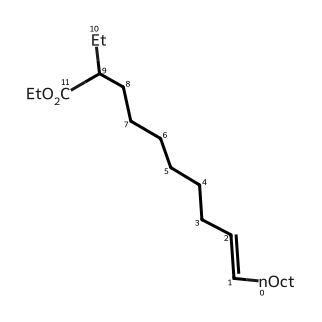 CCCCCCCCC=CCCCCCCC(CC)C(=O)OCC